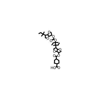 CCC(C)(C)C1COC2C(OC(=O)OC(C)(CC)C(C)(CC)C3COC4C(OC(=O)C5CCC(C(=O)O)CC5)COC43)COC21